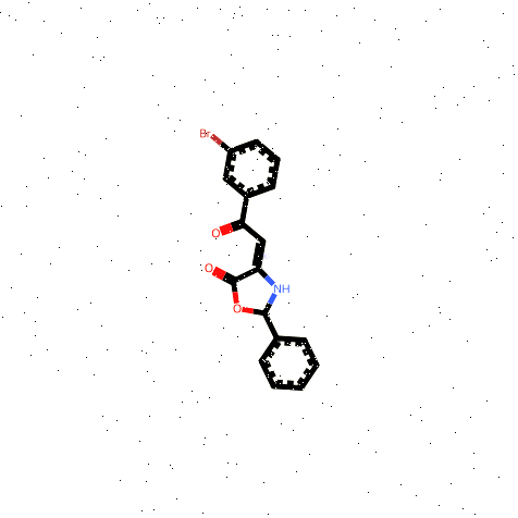 O=C1OC(c2ccccc2)N/C1=C/C(=O)c1cccc(Br)c1